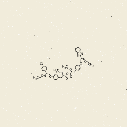 CCON=C(COc1ccc(CC(OCC)C(=O)OC(=O)C(Cc2ccc(OCC(=NOCC)c3nc4ccccc4s3)cc2)OCC)cc1)c1ccc(Cl)cc1